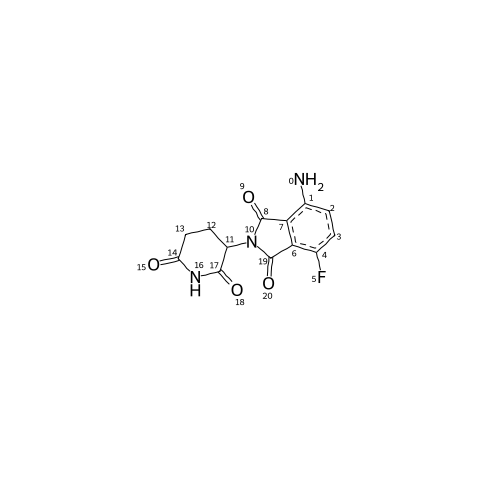 Nc1ccc(F)c2c1C(=O)N(C1CCC(=O)NC1=O)C2=O